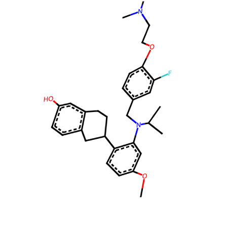 COc1ccc(C2CCc3cc(O)ccc3C2)c(N(Cc2ccc(OCCN(C)C)c(F)c2)C(C)C)c1